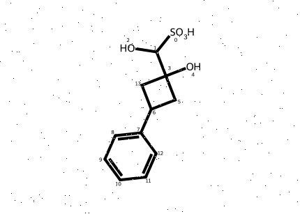 O=S(=O)(O)C(O)C1(O)CC(c2ccccc2)C1